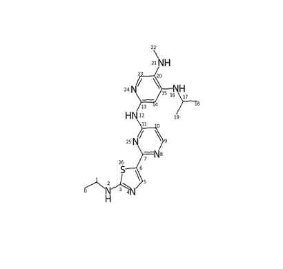 CCNc1ncc(-c2nccc(Nc3cc(NC(C)C)c(NC)cn3)n2)s1